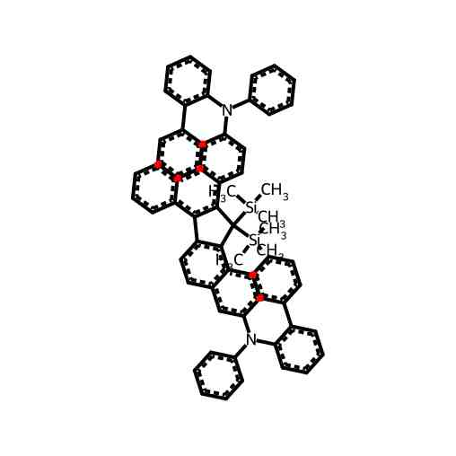 C[Si](C)(C)C1([Si](C)(C)C)c2c(ccc3cc(N(c4ccccc4)c4ccccc4-c4ccccc4)ccc23)-c2c1c1ccc(N(c3ccccc3)c3ccccc3-c3ccccc3)cc1c1ccccc21